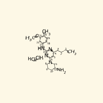 CCCCc1cc(N2CCCC(N)C2)nc(Nc2ccc(C)c(OC)c2)n1.Cl.Cl